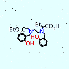 CCOC(=O)CN(CCN(Cc1ccccc1O)C(CC)C(=O)O)Cc1ccccc1O